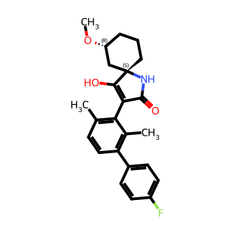 CO[C@@H]1CCC[C@@]2(C1)NC(=O)C(c1c(C)ccc(-c3ccc(F)cc3)c1C)=C2O